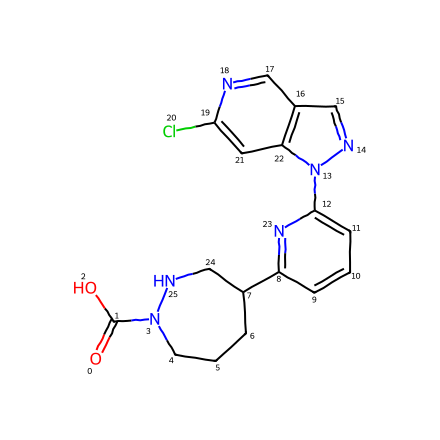 O=C(O)N1CCCC(c2cccc(-n3ncc4cnc(Cl)cc43)n2)CN1